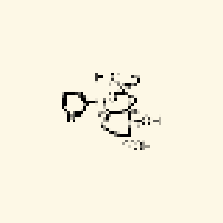 CS(=O)(=O)O[C@@H]1[C@@H](O)[C@H](O)CS[C@H]1Oc1cccnc1